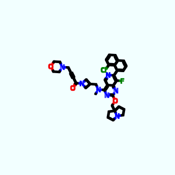 CN(CC1CN(C(=O)C#CCN2CCOCC2)C1)c1nc(OCC23CCCN2CCC3)nc2c(F)c(-c3cccc4cccc(Cl)c34)ncc12